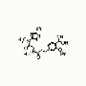 CC(C)Oc1cc(CCC(=O)N(C)CC(=O)N(C)c2nc(C(C)C)ns2)ccc1C(C)O